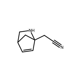 N#CCC12C=CC(CN1)C2